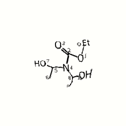 CCOC(=O)N(C(C)O)C(C)O